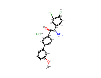 CC(C)Oc1cccc(-c2ccc(C(=O)C(N)c3ccc(Cl)c(Cl)c3)cc2)c1.Cl